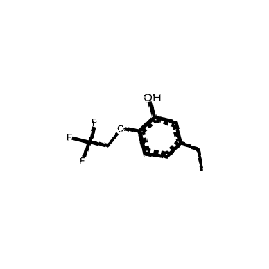 CCc1ccc(OCC(F)(F)F)c(O)c1